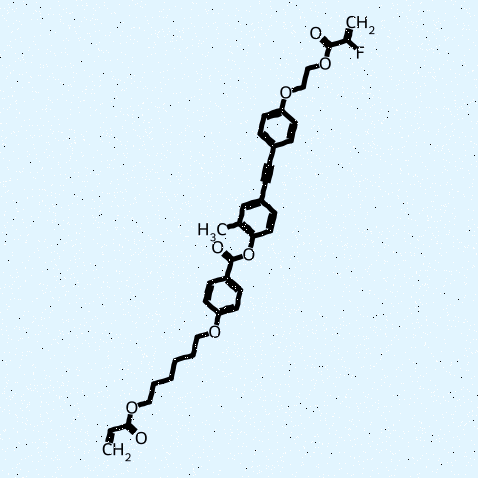 C=CC(=O)OCCCCCCOc1ccc(C(=O)Oc2ccc(C#Cc3ccc(OCCOC(=O)C(=C)F)cc3)cc2C)cc1